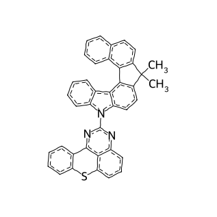 CC1(C)c2ccc3ccccc3c2-c2c1ccc1c2c2ccccc2n1-c1nc2c3c(cccc3n1)Sc1ccccc1-2